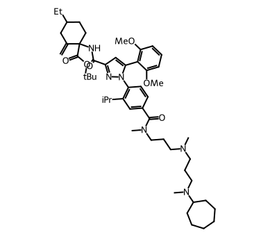 C=C1CC(CC)CCC1(NC(=O)c1cc(-c2c(OC)cccc2OC)n(-c2ccc(C(=O)N(C)CCCN(C)CCCN(C)C3CCCCCC3)cc2C(C)C)n1)C(=O)OC(C)(C)C